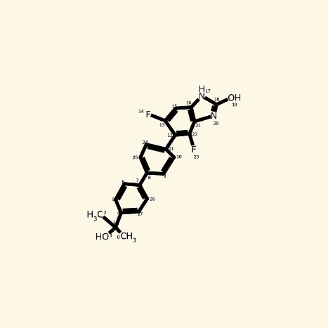 CC(C)(O)c1ccc(-c2ccc(-c3c(F)cc4[nH]c(O)nc4c3F)cc2)cc1